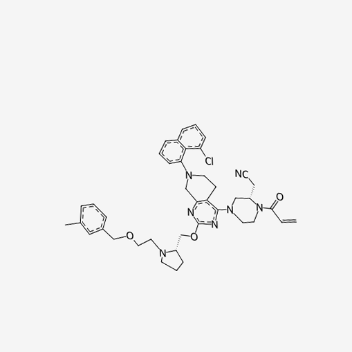 C=CC(=O)N1CCN(c2nc(OC[C@@H]3CCCN3CCOCc3cccc(C)c3)nc3c2CCN(c2cccc4cccc(Cl)c24)C3)C[C@@H]1CC#N